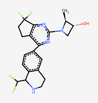 C[C@H]1[C@H](O)CN1c1nc(-c2ccc3c(c2)CCNC3C(F)F)c2c(n1)C(F)(F)CC2